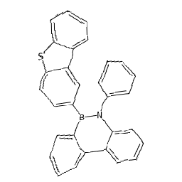 c1ccc(N2B(c3ccc4sc5ccccc5c4c3)c3ccccc3-c3ccccc32)cc1